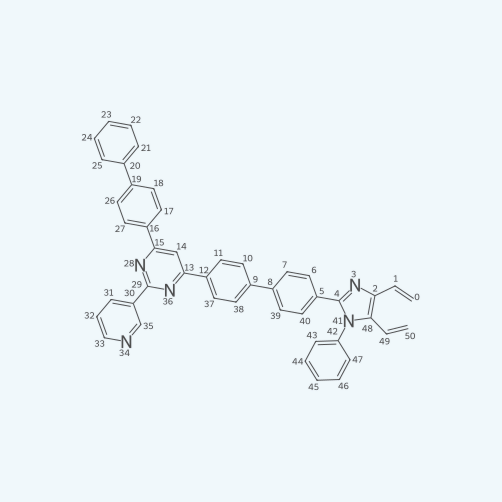 C=Cc1nc(-c2ccc(-c3ccc(-c4cc(-c5ccc(-c6ccccc6)cc5)nc(-c5cccnc5)n4)cc3)cc2)n(-c2ccccc2)c1C=C